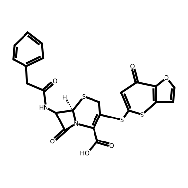 O=C(Cc1ccccc1)NC1C(=O)N2C(C(=O)O)=C(Sc3cc(=O)c4occc4s3)CS[C@H]12